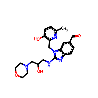 Cc1ccc(O)c(Cn2c(NCC(O)CN3CCOCC3)nc3ccc(C=O)cc32)n1